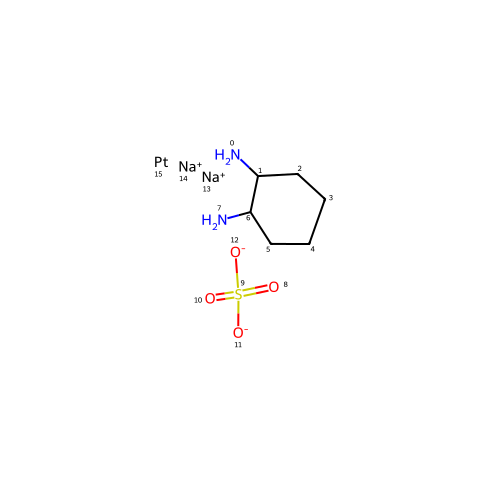 NC1CCCCC1N.O=S(=O)([O-])[O-].[Na+].[Na+].[Pt]